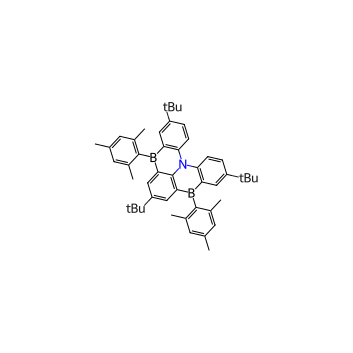 Cc1cc(C)c(B2c3cc(C(C)(C)C)ccc3N3c4ccc(C(C)(C)C)cc4B(c4c(C)cc(C)cc4C)c4cc(C(C)(C)C)cc2c43)c(C)c1